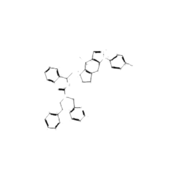 C[C@@H]1C2=C(CC[C@@H]2CC(NC(=O)N(CCc2ccccc2)Cc2ccccn2)c2ccccc2)Cc2c1cnn2-c1ccc(F)cc1